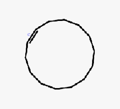 C1=C\CCCCCCCCCCCC/1